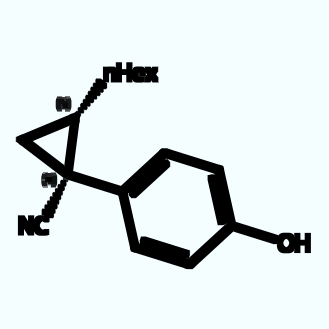 CCCCCC[C@H]1C[C@]1(C#N)c1ccc(O)cc1